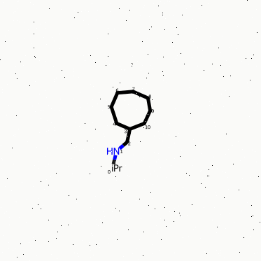 CC(C)NCC1CCCCCCC1